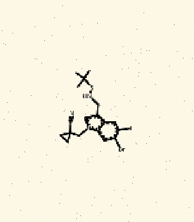 CC(C)(C)SNCc1cn(CC2(C#N)CC2)c2cc(Br)c(F)cc12